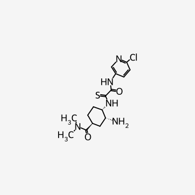 CN(C)C(=O)[C@H]1CC[C@H](NC(=S)C(=O)Nc2ccc(Cl)nc2)[C@H](N)C1